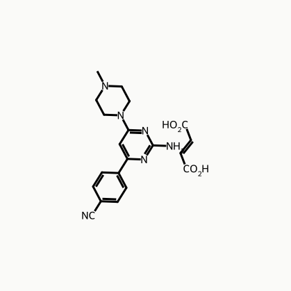 CN1CCN(c2cc(-c3ccc(C#N)cc3)nc(N)n2)CC1.O=C(O)C=CC(=O)O